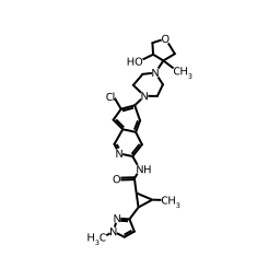 CC1C(C(=O)Nc2cc3cc(N4CCN(C5(C)COCC5O)CC4)c(Cl)cc3cn2)C1c1ccn(C)n1